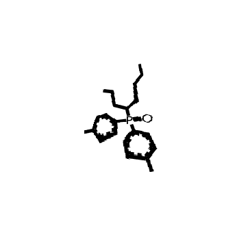 CCCCC(CCC)P(=O)(c1ccc(C)cc1)c1ccc(C)cc1